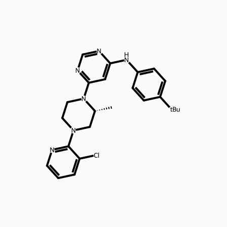 C[C@@H]1CN(c2ncccc2Cl)CCN1c1cc(Nc2ccc(C(C)(C)C)cc2)ncn1